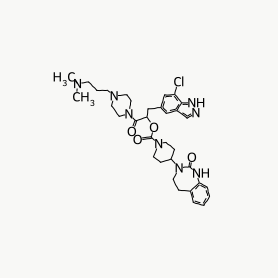 CN(C)CCCN1CCN(C(=O)C(Cc2cc(Cl)c3[nH]ncc3c2)OC(=O)N2CCC(N3CCc4ccccc4NC3=O)CC2)CC1